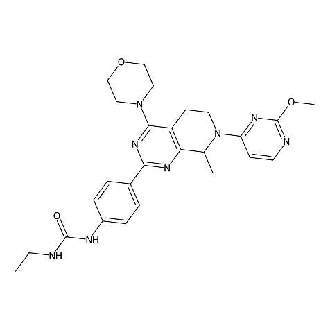 CCNC(=O)Nc1ccc(-c2nc3c(c(N4CCOCC4)n2)CCN(c2ccnc(OC)n2)C3C)cc1